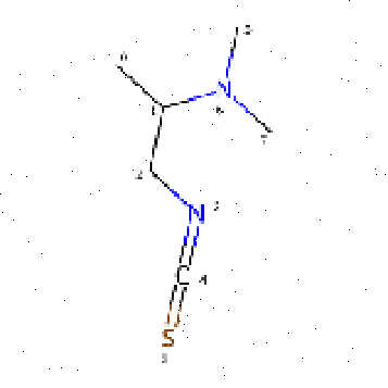 CC(CN=C=S)N(C)C